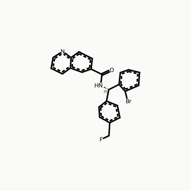 O=C(N[C@@H](c1ccc(CF)cc1)c1ccccc1Br)c1ccc2ncccc2c1